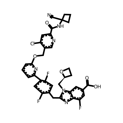 N#CC1(NC(=O)c2cc(Cl)c(COc3cccc(-c4cc(F)c(Cc5nc6c(F)cc(C(=O)O)cc6n5C[C@@H]5CCO5)cc4F)n3)cn2)CCC1